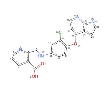 O=C(O)c1cccnc1CNc1ccc(Oc2ccnc3[nH]ccc23)c(Cl)c1